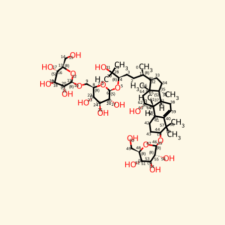 C[C@H](CC[C@@H](O[C@@H]1O[C@H](CO[C@@H]2O[C@H](CO)[C@@H](O)[C@H](O)[C@H]2O)[C@@H](O)[C@H](O)[C@H]1O)C(C)(C)O)[C@H]1CC[C@@]2(C)[C@@H]3CC=C4[C@@H](CC[C@H](O[C@@H]5O[C@H](CO)[C@@H](O)[C@H](O)[C@H]5O)C4(C)C)[C@]3(C)[C@H](O)C[C@]12C